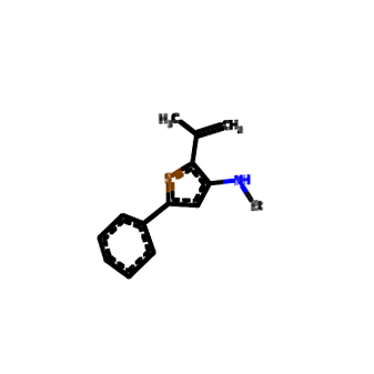 C=C(C)c1sc(-c2ccccc2)cc1NCC